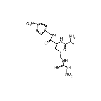 C[C@H](N)C(=O)N[C@@H](CCCNC(=N)N[N+](=O)[O-])C(=O)Nc1ccc([N+](=O)[O-])cc1